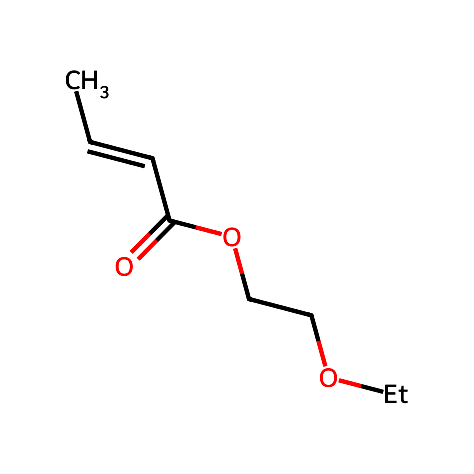 [CH2]COCCOC(=O)C=CC